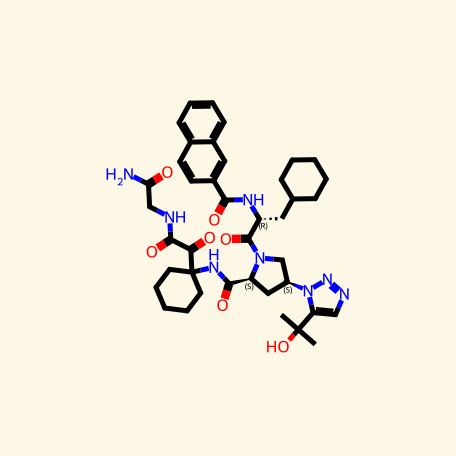 CC(C)(O)c1cnnn1[C@H]1C[C@@H](C(=O)NC2(C(=O)C(=O)NCC(N)=O)CCCCC2)N(C(=O)[C@@H](CC2CCCCC2)NC(=O)c2ccc3ccccc3c2)C1